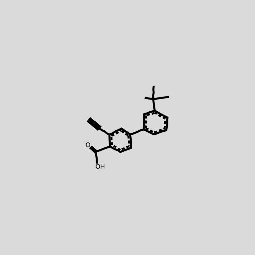 C#Cc1cc(-c2cccc(C(C)(C)C)c2)ccc1C(=O)O